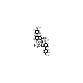 CCCc1ccc(-c2cccc3c2C=C(C)C3[Si](C)(C)C2C(C)=Cc3c(-c4ccc(CCC)cc4)cccc32)cc1